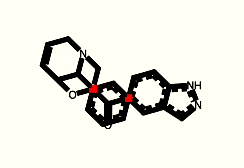 O=C(c1ccc2[nH]ncc2c1)N1CN2CC=CC(O1)C2c1ccccc1